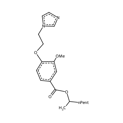 CCCCCC(C)OC(=O)c1ccc(OCCn2ccnc2)c(OC)c1